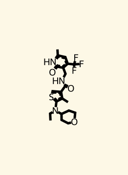 CCN(c1scc(C(=O)NCc2c(C(F)(F)F)cc(C)[nH]c2=O)c1C)C1CCOCC1